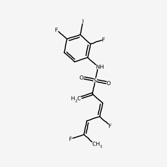 C=C(/C=C(F)\C=C(/C)F)S(=O)(=O)Nc1ccc(F)c(I)c1F